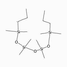 CC[CH][Si](C)(C)O[Si](C)(C)O[Si](C)(C)O[Si](C)(C)CCC